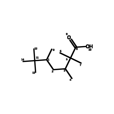 CC(CC(C)C(C)(C)C(=O)O)C(C)(C)C